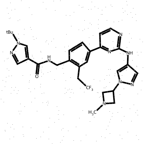 CN1CC(n2cc(Nc3nccc(-c4ccc(CNC(=O)c5cnn(C(C)(C)C)c5)c(CC(F)(F)F)c4)n3)cn2)C1